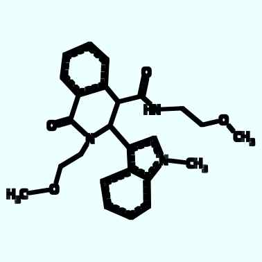 COCCNC(=O)C1c2ccccc2C(=O)N(CCOC)C1c1cn(C)c2ccccc12